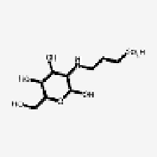 O=S(=O)(O)CCCNC1C(O)OC(CO)C(O)C1O